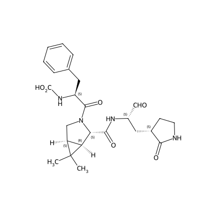 CC1(C)[C@@H]2[C@@H](C(=O)N[C@H](C=O)C[C@@H]3CCNC3=O)N(C(=O)[C@H](Cc3ccccc3)NC(=O)O)C[C@@H]21